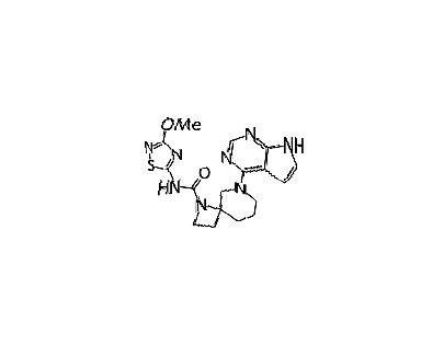 COc1nsc(NC(=O)N2CCC23CCCN(c2ncnc4[nH]ccc24)C3)n1